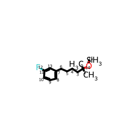 CC(C)(CCCCc1cccc(F)c1)O[SiH3]